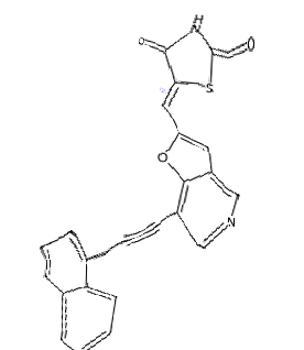 O=C1NC(=O)/C(=C/c2cc3cncc(C#Cc4cccc5ccccc45)c3o2)S1